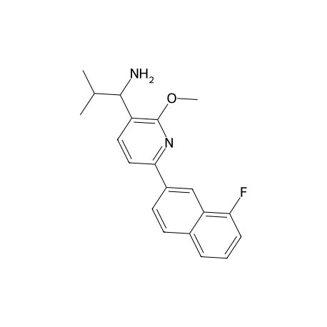 COc1nc(-c2ccc3cccc(F)c3c2)ccc1C(N)C(C)C